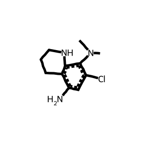 CN(C)c1c(Cl)cc(N)c2c1NCCC2